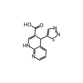 O=C(O)C1=CNc2ncccc2C1c1cnns1